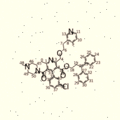 Cc1nc(COCCc2cccnc2)c(C(=O)OCCC(c2ccccc2)c2ccccc2)c(-c2cccc(Cl)c2)c1C(=O)N1CCN(C)CC1